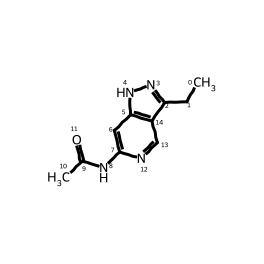 CCc1n[nH]c2cc(NC(C)=O)ncc12